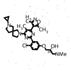 CNC[C@@H](O)COc1ccc(Cl)c(-c2nc(-c3c(C)noc3C)c(C)c(N3CCC4(CCN(C5CC5)C4)C3)n2)c1